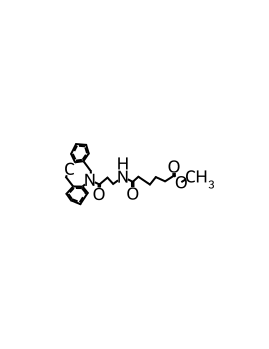 COC(=O)CCCCC(=O)NCCC(=O)N1Cc2ccccc2CCc2ccccc21